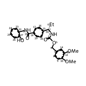 CC[C@H](NC(=O)OCc1ccc(OC)c(OC)c1)c1ccc(C(=O)Nc2ccccc2O)cc1